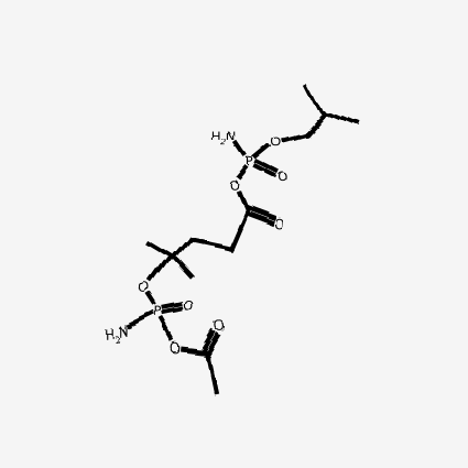 CC(=O)OP(N)(=O)OC(C)(C)CCC(=O)OP(N)(=O)OCC(C)C